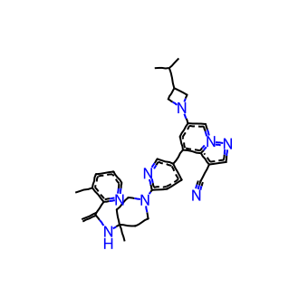 C=C(NC1(C)CCN(c2ccc(-c3cc(N4CC(C(C)C)C4)cn4ncc(C#N)c34)cn2)CC1)c1ncccc1C